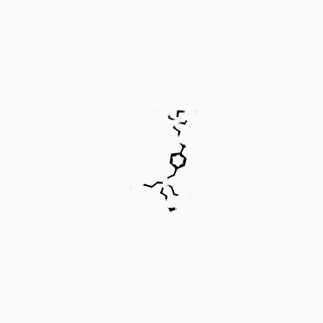 CCCC[N+](CCC)(CCSC(C)=O)CCc1ccc(C(=O)SCC[N+](CC)(CC)CC)cc1